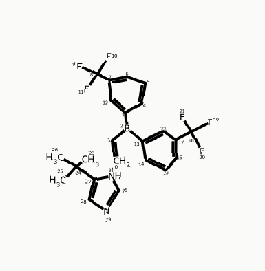 C=CB(c1cccc(C(F)(F)F)c1)c1cccc(C(F)(F)F)c1.CC(C)(C)c1cnc[nH]1